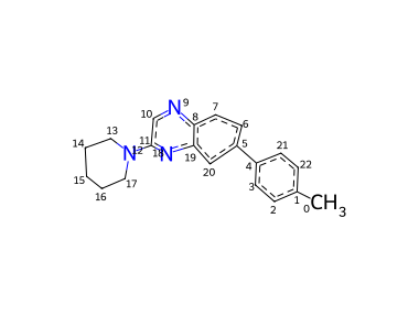 Cc1ccc(-c2ccc3ncc(N4CCCCC4)nc3c2)cc1